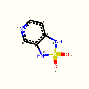 O=S1(=O)Nc2ccncc2N1